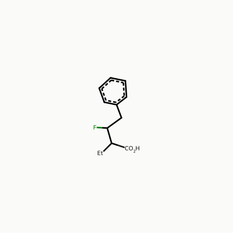 CCC(C(=O)O)C(F)Cc1ccccc1